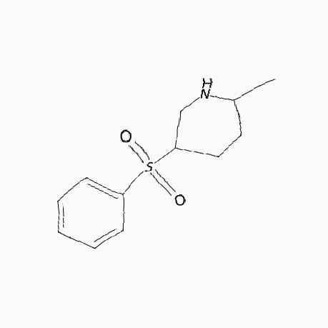 CC1CCC(S(=O)(=O)c2ccccc2)CN1